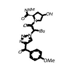 CNC(=O)[C@H]1CC(O)CN1C(=O)C(n1cc(C(=O)c2ccc(OC)cc2)nn1)C(C)(C)C